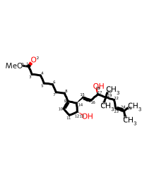 COC(=O)CCCCCCC1=CC[C@@H](O)[C@@H]1C=C[C@@H](O)C(C)(C)CC=C(C)C